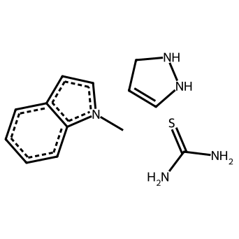 C1=CNNC1.Cn1ccc2ccccc21.NC(N)=S